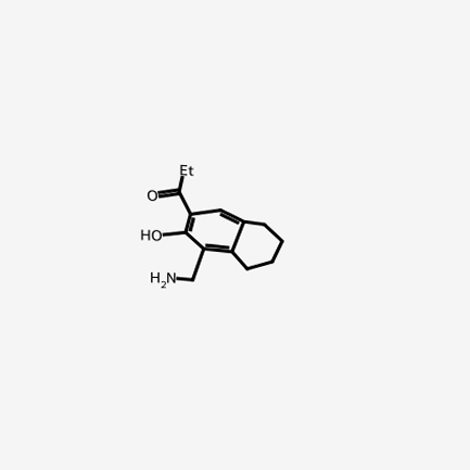 CCC(=O)c1cc2c(c(CN)c1O)CCCC2